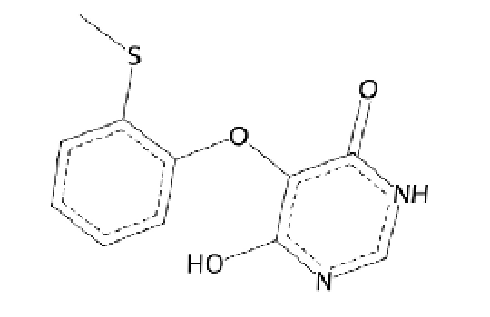 CSc1ccccc1Oc1c(O)nc[nH]c1=O